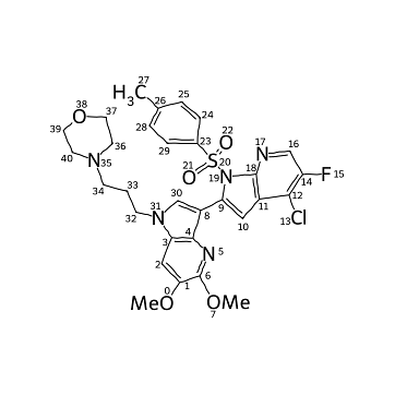 COc1cc2c(nc1OC)c(-c1cc3c(Cl)c(F)cnc3n1S(=O)(=O)c1ccc(C)cc1)cn2CCCN1CCOCC1